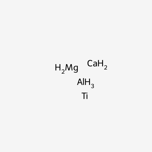 [AlH3].[CaH2].[MgH2].[Ti]